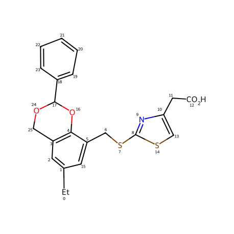 CCc1cc2c(c(CSc3nc(CC(=O)O)cs3)c1)OC(c1ccccc1)OC2